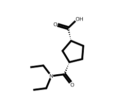 CCN(CC)C(=O)[C@H]1CC[C@@H](C(=O)O)C1